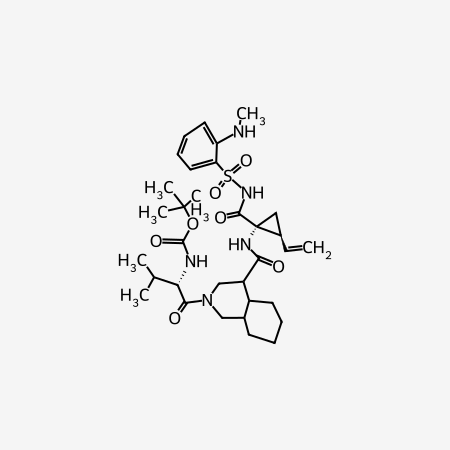 C=C[C@@H]1C[C@]1(NC(=O)C1CN(C(=O)[C@@H](NC(=O)OC(C)(C)C)C(C)C)CC2CCCCC21)C(=O)NS(=O)(=O)c1ccccc1NC